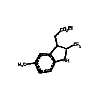 CCOC(=O)CC1c2cc(C)ccc2NC1C(F)(F)F